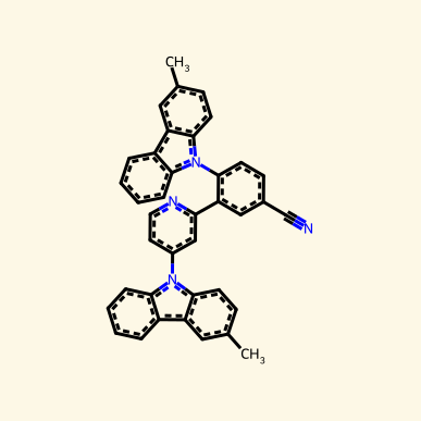 Cc1ccc2c(c1)c1ccccc1n2-c1ccnc(-c2cc(C#N)ccc2-n2c3ccccc3c3cc(C)ccc32)c1